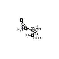 CCOC(=O)c1cc(N)cc(-c2c(Cl)nc(NC(C)C)c(=O)n2CC(=O)NCc2ccc(/C(N)=N\C(=O)OCc3ccccc3)cc2)c1